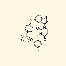 COc1cc(C)ccc1CN1C(=O)CCN(c2cnn3ccc(C(C)N4CCN(C(=O)OC(C)(C)C)CC4)cc23)C1=O